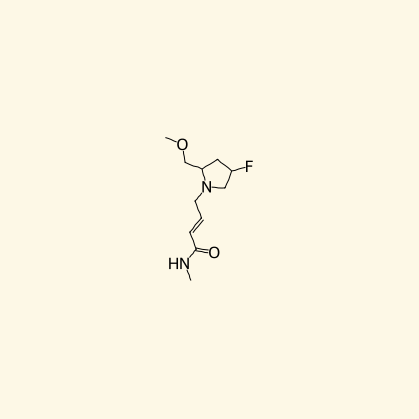 CNC(=O)/C=C/CN1CC(F)CC1COC